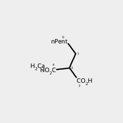 CCCCCCC(C(=O)O)C(=O)O.[CaH2]